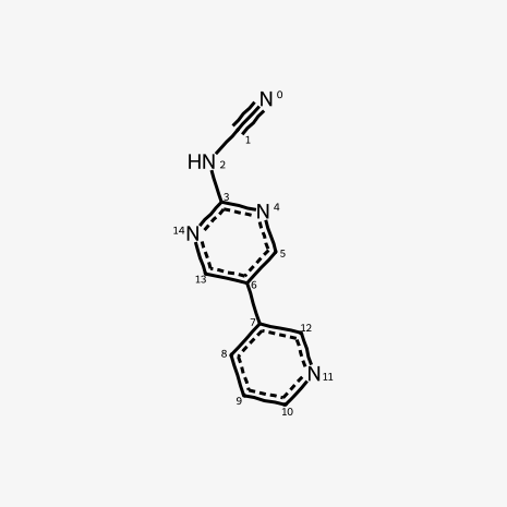 N#CNc1ncc(-c2cccnc2)cn1